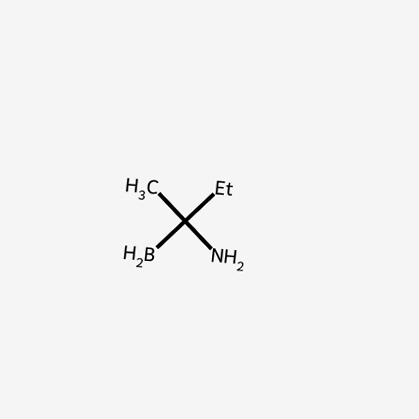 BC(C)(N)CC